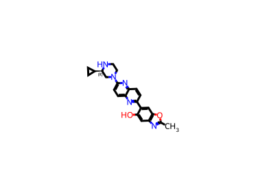 Cc1nc2cc(O)c(-c3ccc4nc(N5CCN[C@H](C6CC6)C5)ccc4n3)cc2o1